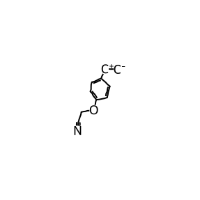 [CH2-][CH+]c1ccc(OCC#N)cc1